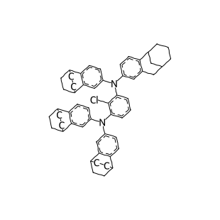 Clc1c(N(c2ccc3c(c2)CC2CCCC3C2)c2ccc3c(c2)C2CCC3CC2)cccc1N(c1ccc2c(c1)C1CCC2CC1)c1ccc2c(c1)C1CCC2CC1